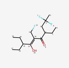 CCC(CC(C)(F)F)C(=O)/C(CF)=C(\O)C(CC)CC